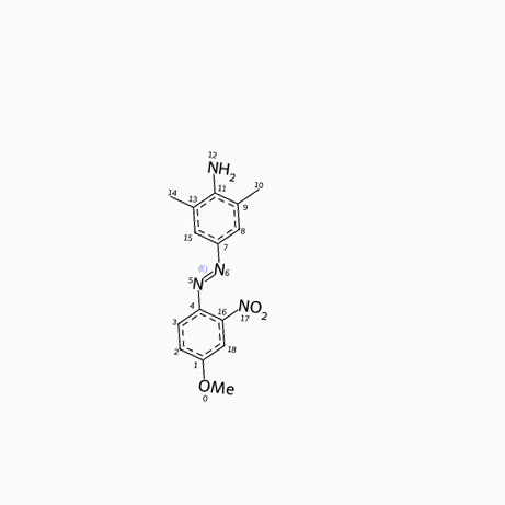 COc1ccc(/N=N/c2cc(C)c(N)c(C)c2)c([N+](=O)[O-])c1